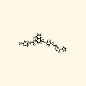 O=C(NCc1ccc(Br)nn1)Nc1ccc(OCc2ccc(OCCN3CCCC(C4C=CCC4)C3)cc2)c2ccccc12